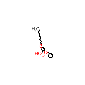 CCCCCCCCCCOc1ccc(OCc2ccccc2)c(C(=O)O)c1